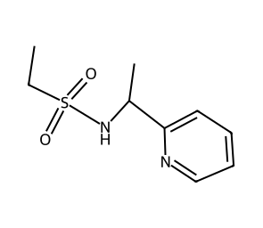 CCS(=O)(=O)NC(C)c1ccccn1